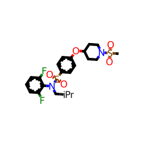 CC(C)CN(c1c(F)cccc1F)S(=O)(=O)c1ccc(OC2CCN(S(C)(=O)=O)CC2)cc1